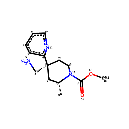 C[C@@H]1C[C@@](CN)(c2ccccn2)CCN1C(=O)OC(C)(C)C